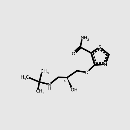 CC(C)(C)NC[C@H](O)COc1ncsc1C(N)=O